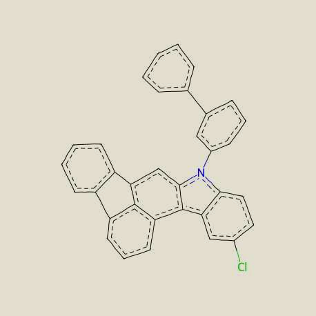 Clc1ccc2c(c1)c1c3cccc4c3c(cc1n2-c1cccc(-c2ccccc2)c1)-c1ccccc1-4